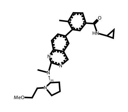 COCCN1CCC[C@H]1N(C)c1ncc2cc(-c3cc(C(=O)NC4CC4)ccc3C)ccc2n1